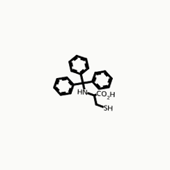 O=C(O)C(CS)NC(c1ccccc1)(c1ccccc1)c1ccccc1